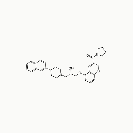 O=C(C1=Cc2c(cccc2OC[C@@H](O)CN2CCC(c3ccc4ccccc4c3)CC2)OC1)N1CCCC1